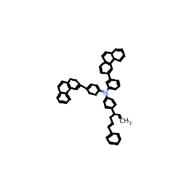 C=CC(C/C=C/c1ccccc1)c1ccc(N(C2=CC=C(C3=Cc4c(ccc5ccccc45)CC3)CC2)c2cccc(-c3ccc4c(c3)C3C=CC=CC3C=C4)c2)cc1